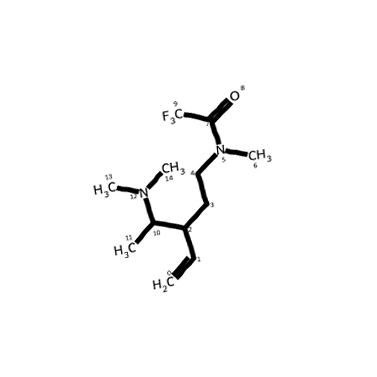 C=CC(CCN(C)C(=O)C(F)(F)F)C(C)N(C)C